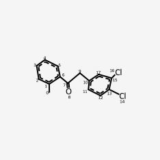 Cc1ccccc1C(=O)Cc1ccc(Cl)c(Cl)c1